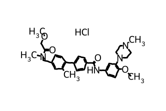 COCC(=O)N(C)Cc1ccc(-c2ccc(C(=O)Nc3ccc(OC)c(N4CCN(C)CC4)c3)cc2)c(C)c1.Cl